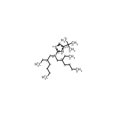 CCCCC(CC)CN(CC(CC)CCCC)c1nc(C(C)(C)C)cs1